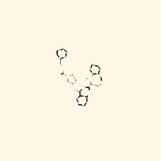 Cc1ccc2nc(C3CN=Cc4ccccc4[S+]3[O-])nc(N[C@H]3CN(C(=O)OCc4ccccc4)C[C@@H]3F)c2c1